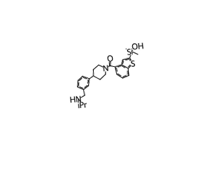 CC(C)NCc1cccc(C2CCN(C(=O)c3cccc4sc([Si](C)(C)O)cc34)CC2)c1